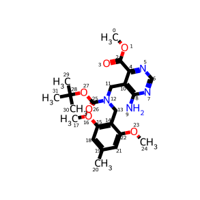 COC(=O)c1ncnc(N)c1CN(Cc1c(OC)cc(C)cc1OC)C(=O)OC(C)(C)C